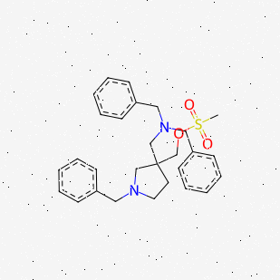 CS(=O)(=O)OCC1(CN(Cc2ccccc2)Cc2ccccc2)CCN(Cc2ccccc2)C1